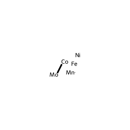 [Co][Mo].[Fe].[Mn].[Ni]